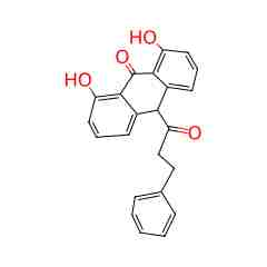 O=C1c2c(O)cccc2C(C(=O)CCc2ccccc2)c2cccc(O)c21